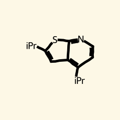 CC(C)c1cc2c(C(C)C)ccnc2s1